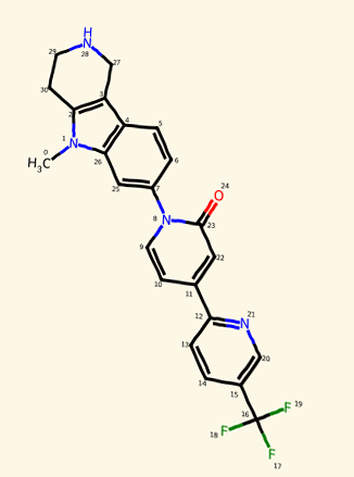 Cn1c2c(c3ccc(-n4ccc(-c5ccc(C(F)(F)F)cn5)cc4=O)cc31)CNCC2